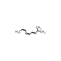 C\C=C/N=C\C=N\C(C)C